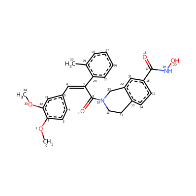 COc1ccc(C=C(C(=O)N2CCc3ccc(C(=O)NO)cc3C2)c2ccccc2C)cc1OC